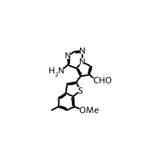 COc1cc(C)cc2cc(-c3c(C=O)cn4ncnc(N)c34)sc12